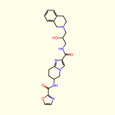 O=C(NCC(O)CN1CCc2ccccc2C1)c1cn2c(n1)CCC(NC(=O)c1ncco1)C2